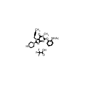 CC#CCn1c(N2CCNCC2)nc2nc(Oc3ccccc3NC(C)=O)n(C)c(=O)c21.O=C(O)C(F)(F)F